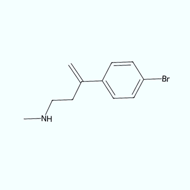 C=C(CCNC)c1ccc(Br)cc1